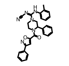 Cc1ccccc1N/C(=N/C#N)N1CCN(C(=O)c2cc(-c3ccccc3)no2)C(c2ccccc2)C1